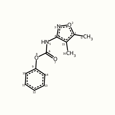 Cc1onc(NC(=O)Oc2ccccc2)c1C